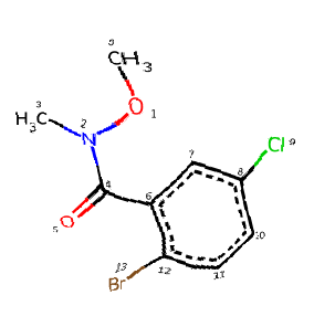 CON(C)C(=O)c1cc(Cl)ccc1Br